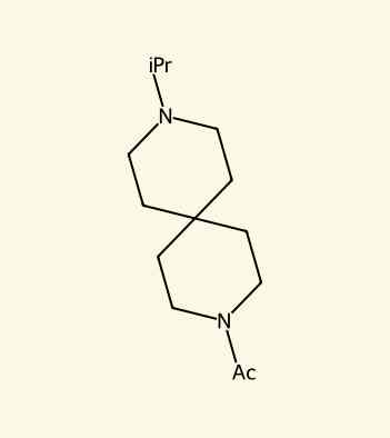 CC(=O)N1CCC2(CC1)CCN(C(C)C)CC2